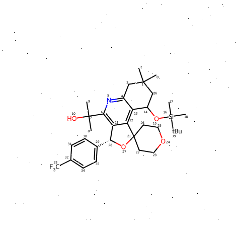 CC1(C)Cc2nc(C(C)(C)O)c3c(c2C(O[Si](C)(C)C(C)(C)C)C1)C1(CCOCC1)O[C@@H]3c1ccc(C(F)(F)F)cc1